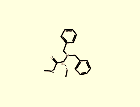 CC[C@H](C(=O)OC)N(Cc1ccccc1)Cc1ccccc1